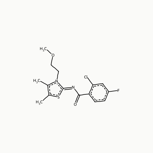 COCCn1c(C)c(C)sc1=NC(=O)c1ccc(F)cc1Cl